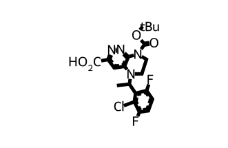 CC(c1c(F)ccc(F)c1Cl)N1CCN(C(=O)OC(C)(C)C)c2nnc(C(=O)O)cc21